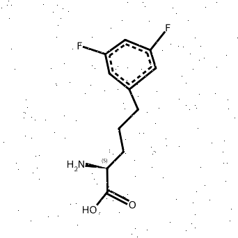 N[C@@H](CCCc1cc(F)cc(F)c1)C(=O)O